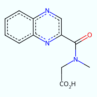 CN(CC(=O)O)C(=O)c1cnc2ccccc2n1